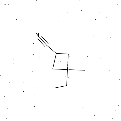 CCC1(C)CC(C#N)C1